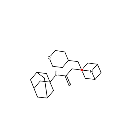 O=C(CN1CC2CC(C1)N2CCC1CCOCC1)NC12CC3CC(CC(C3)C1)C2